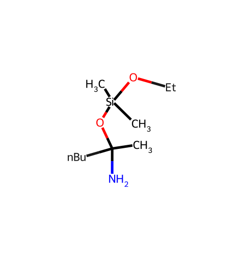 CCCCC(C)(N)O[Si](C)(C)OCC